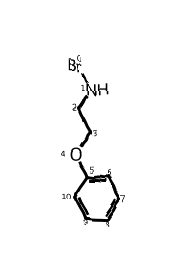 BrNCCOc1ccccc1